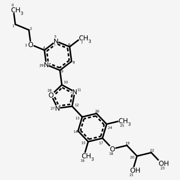 CCCOc1nc(C)cc(-c2nc(-c3cc(C)c(OCC(O)CO)c(C)c3)no2)n1